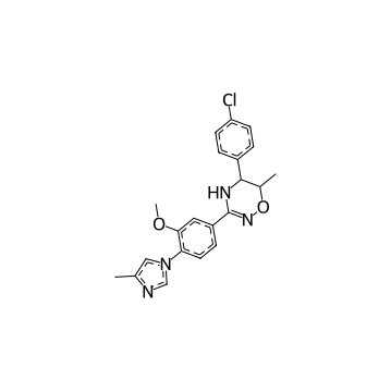 COc1cc(C2=NOC(C)C(c3ccc(Cl)cc3)N2)ccc1-n1cnc(C)c1